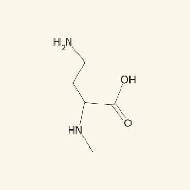 CNC(CCN)C(=O)O